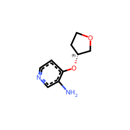 Nc1cnccc1O[C@@H]1CCOC1